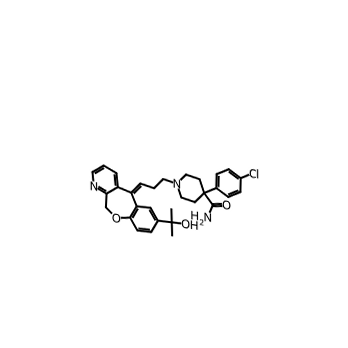 CC(C)(O)c1ccc2c(c1)C(=CCCN1CCC(C(N)=O)(c3ccc(Cl)cc3)CC1)c1cccnc1CO2